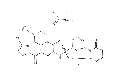 O=C(NC[C@H](NS(=O)(=O)c1cccc(N2CCCCC2=O)c1C(F)(F)F)C(=O)N1CCN(C2CC2)CC1)c1ccc(Cl)s1.O=C(O)C(F)(F)F